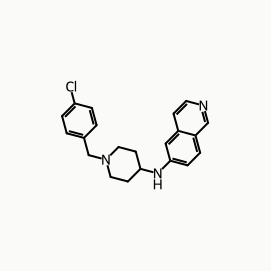 Clc1ccc(CN2CCC(Nc3ccc4cnccc4c3)CC2)cc1